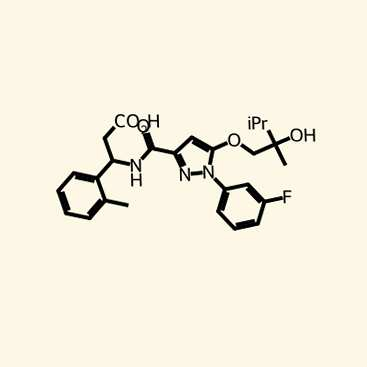 Cc1ccccc1C(CC(=O)O)NC(=O)c1cc(OCC(C)(O)C(C)C)n(-c2cccc(F)c2)n1